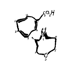 C1COCCN1.O=C(O)c1ccccc1